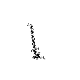 CC(=O)CCOCCOCCOCCOCCNC(=O)CCN1C(=O)C[C@H](C)C1=O